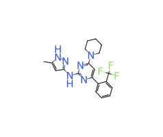 Cc1cc(Nc2nc(-c3ccccc3C(F)(F)F)cc(N3CCCCC3)n2)n[nH]1